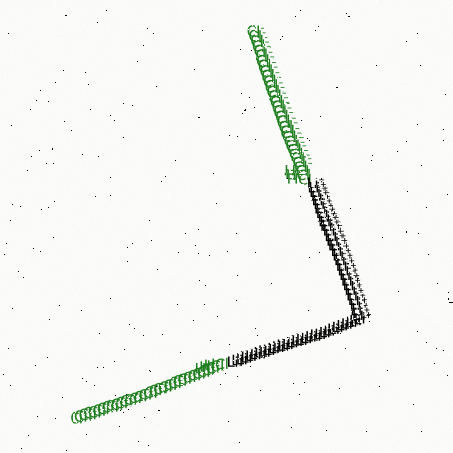 Cl.Cl.Cl.Cl.Cl.Cl.[Cl-].[Cl-].[Cl-].[Cl-].[Cl-].[Cl-].[Cl-].[Cl-].[Cl-].[Cl-].[Cl-].[Cl-].[Cl-].[Cl-].[Cl-].[Cl-].[Cl-].[Cl-].[Cl-].[Cl-].[Cl-].[Cl-].[Cl-].[Cl-].[Cl-].[Cl-].[Cl-].[Cl-].[Cl-].[Cl-].[Cl-].[Cl-].[Cl-].[Cl-].[Cl-].[Cl-].[Cl-].[Cl-].[Cl-].[Cl-].[Cl-].[Cl-].[Cl-].[Cl-].[Cl-].[Cl-].[Cl-].[Cl-].[Cl-].[Cl-].[Cl-].[Cl-].[Cl-].[Cl-].[Cl-].[Cl-].[Cl-].[Cl-].[Li+].[Li+].[Li+].[Li+].[Li+].[Li+].[Li+].[Li+].[Li+].[Li+].[Li+].[Li+].[Li+].[Li+].[Li+].[Li+].[Li+].[Li+].[Li+].[Li+].[Li+].[Li+].[Li+].[Li+].[Li+].[Li+].[Li+].[Li+].[Li+].[Li+].[Li+].[Li+].[Li+].[Li+].[Li+].[Li+].[Li+].[Li+].[Li+].[Li+].[Li+].[Li+].[Li+].[Li+].[Li+].[Li+].[Li+].[Li+].[Li+].[Li+].[Li+].[Li+].[Li+].[Li+].[Li+].[Li+].[Li+].[Li+]